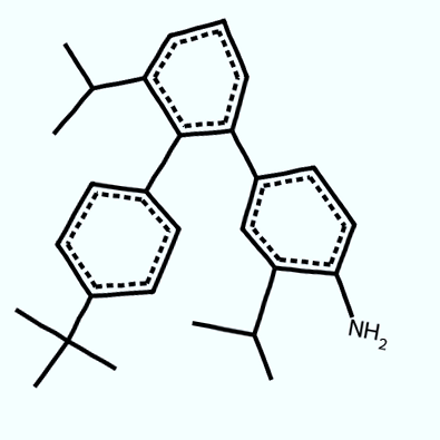 CC(C)c1cc(-c2cccc(C(C)C)c2-c2ccc(C(C)(C)C)cc2)ccc1N